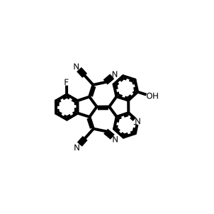 N#CC(C#N)=C1/C(=C2\c3cccnc3-c3c(O)cccc32)C(=C(C#N)C#N)c2c(F)cccc21